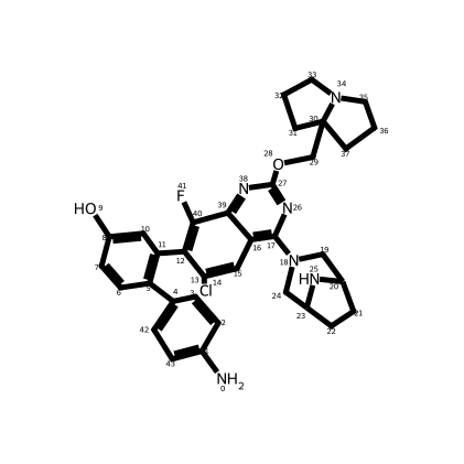 Nc1ccc(-c2ccc(O)cc2-c2c(Cl)cc3c(N4CC5CCC(C4)N5)nc(OCC45CCCN4CCC5)nc3c2F)cc1